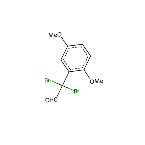 COc1ccc(OC)c(C(Br)(Br)C=O)c1